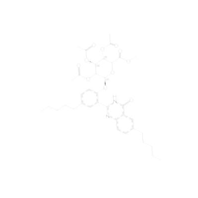 CCCCCc1ccc(O[C@@H]2OC(C(=O)OC)[C@@H](OC(C)=O)[C@H](OC(C)=O)C2OC(C)=O)c(-c2nc3ccc(CCCCC)cc3c(=O)[nH]2)c1